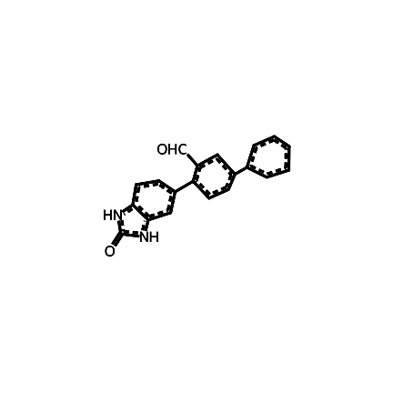 O=Cc1cc(-c2ccccc2)ccc1-c1ccc2[nH]c(=O)[nH]c2c1